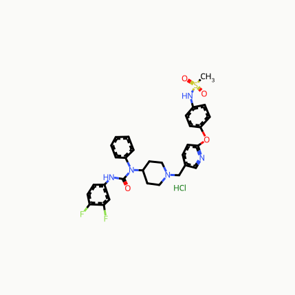 CS(=O)(=O)Nc1ccc(Oc2ccc(CN3CCC(N(C(=O)Nc4ccc(F)c(F)c4)c4ccccc4)CC3)cn2)cc1.Cl